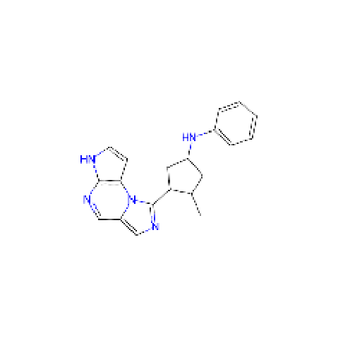 CC1CC(Nc2ccccc2)CC1c1ncc2cnc3[nH]ccc3n12